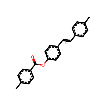 Cc1ccc(/C=C/c2ccc(OC(=O)c3ccc(C)cc3)cc2)cc1